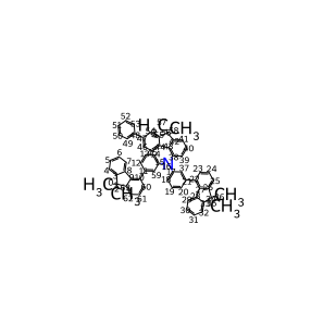 CC1(C)c2ccccc2-c2c(-c3cccc(N(c4cccc(-c5cccc6c5-c5ccccc5C6(C)C)c4)c4cccc5c4-c4ccc(-c6ccccc6)cc4C5(C)C)c3)cccc21